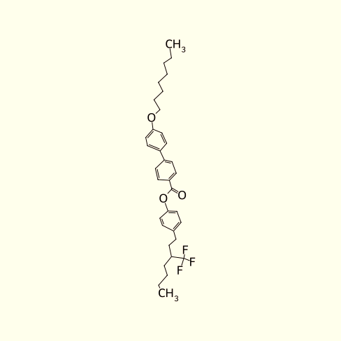 CCCCCCCCOc1ccc(-c2ccc(C(=O)Oc3ccc(CCC(CCCC)C(F)(F)F)cc3)cc2)cc1